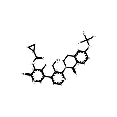 Cc1c(-c2ccnc(N3CCc4cc(OC(F)(F)F)ccc4C3=O)c2CO)c[nH]c(=O)c1NC(=O)C1CC1